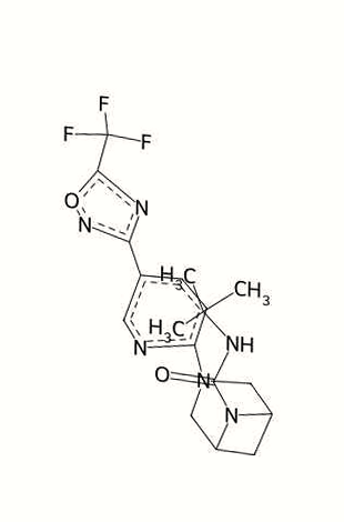 CC(C)(C)NC(=O)N1C2CC1CN(c1ccc(-c3noc(C(F)(F)F)n3)cn1)C2